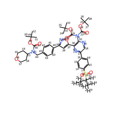 [2H]C([2H])([2H])C([2H])(C([2H])([2H])[2H])S(=O)(=O)c1ccc(-c2cnc(N(C(=O)OC(C)(C)C)C(=O)OC(C)(C)C)c(-c3cc(-c4ccc(CN(C(=O)OC(C)(C)C)C5CCOCC5)cc4)no3)n2)cc1